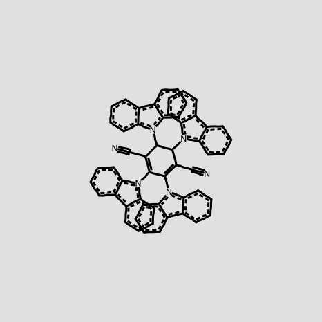 N#CC1=C(n2c3ccccc3c3ccccc32)C(n2c3ccccc3c3ccccc32)=C(C#N)C(n2c3ccccc3c3ccccc32)C1n1c2ccccc2c2ccccc21